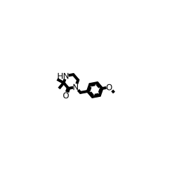 COc1ccc(CN2CCNC(C)(C)C2=O)cc1